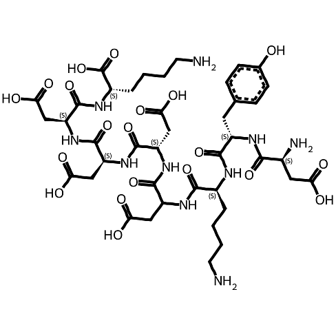 NCCCC[C@H](NC(=O)[C@H](CC(=O)O)NC(=O)[C@H](CC(=O)O)NC(=O)[C@H](CC(=O)O)NC(=O)C(CC(=O)O)NC(=O)[C@H](CCCCN)NC(=O)[C@H](Cc1ccc(O)cc1)NC(=O)[C@@H](N)CC(=O)O)C(=O)O